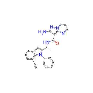 C#Cc1cccc2cc([C@@H](C)NC(=O)c3c(N)nn4cccnc34)n(-c3ccccc3)c12